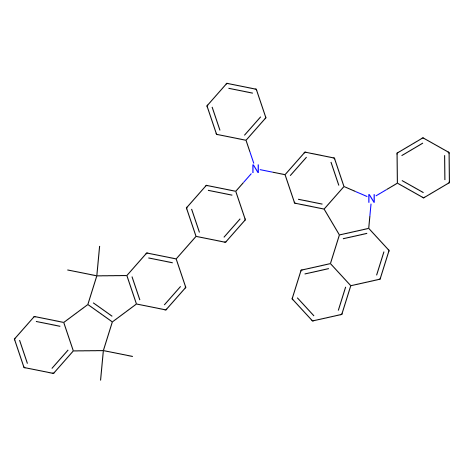 CC1(C)C2=C(c3ccccc31)C(C)(C)c1cc(-c3ccc(N(c4ccccc4)c4ccc5c(c4)c4c6ccccc6ccc4n5-c4ccccc4)cc3)ccc12